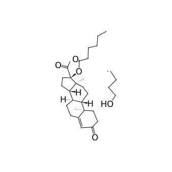 CCCCCC(=O)O[C@]1(C(C)=O)CC[C@H]2[C@@H]3CCC4=CC(=O)CC[C@]4(C)[C@H]3CC[C@@]21C.[CH2]CCCO